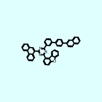 c1cc(-c2ccc(-c3ccc4ccccc4c3)cc2)cc(-c2nc(-c3cc4ccccc4c4ccccc34)nc(-c3cccc4oc5ccccc5c34)n2)c1